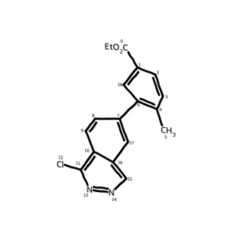 CCOC(=O)c1ccc(C)c(-c2ccc3c(Cl)nncc3c2)c1